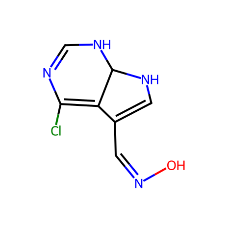 O/N=C\C1=CNC2NC=NC(Cl)=C12